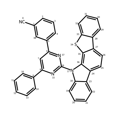 N#Cc1cccc(-c2cc(-c3ccccc3)nc(-n3c4ccccc4c4ccc5c6ccccc6sc5c43)n2)c1